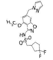 COc1cc(Cn2cccn2)cc2onc(NS(=O)(=O)CC3CCC(F)(F)C3)c12